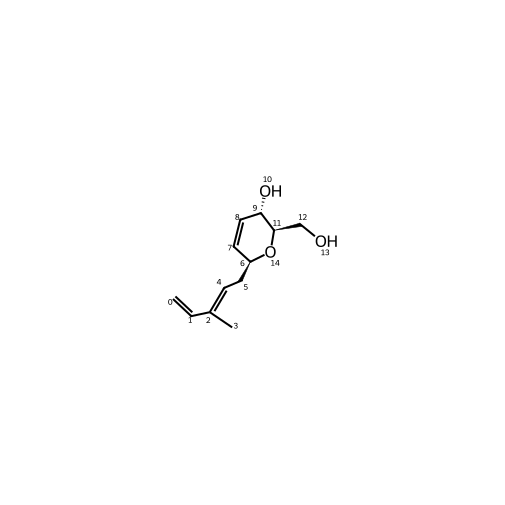 C=C/C(C)=C/C[C@H]1C=C[C@H](O)[C@@H](CO)O1